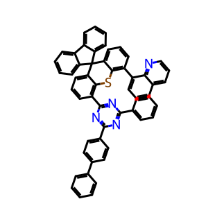 c1ccc(-c2ccc(-c3nc(-c4ccccc4)nc(-c4cccc5c4Sc4c(-c6cccc7cccnc67)cccc4C54c5ccccc5-c5ccccc54)n3)cc2)cc1